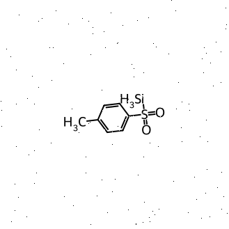 Cc1ccc(S(=O)(=O)[SiH3])cc1